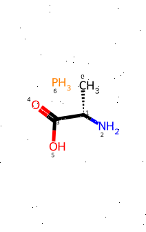 C[C@H](N)C(=O)O.P